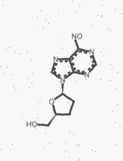 O=Nc1ncnc2c1ncn2[C@H]1CC[C@@H](CO)O1